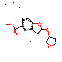 COC(=O)c1ccc2c(c1)CC(OC1CCOC1)O2